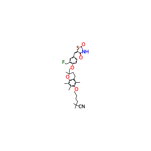 Cc1c(C)c2c(c(C)c1OCCCCC(C)(C)C#N)CCC(C)(COc1ccc(C=C3SC(=O)NC3=O)cc1CF)O2